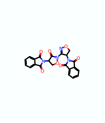 O=C1C(N2C(=O)c3ccccc3C2=O)CON1C1=NOCC1N1C(=O)c2ccccc2C1=O